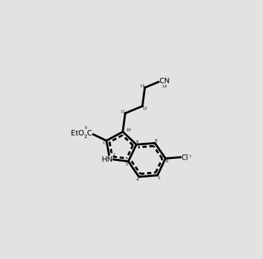 CCOC(=O)c1[nH]c2ccc(Cl)cc2c1CCCC#N